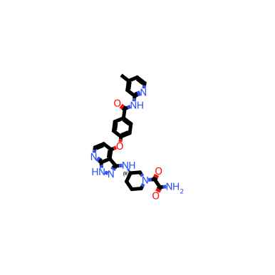 Cc1ccnc(NC(=O)c2ccc(Oc3ccnc4[nH]nc(N[C@@H]5CCCN(C(=O)C(N)=O)C5)c34)cc2)c1